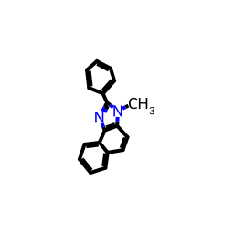 Cn1c(-c2ccccc2)nc2c3ccccc3ccc21